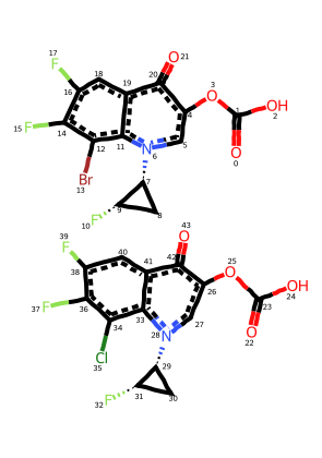 O=C(O)Oc1cn([C@@H]2C[C@@H]2F)c2c(Br)c(F)c(F)cc2c1=O.O=C(O)Oc1cn([C@@H]2C[C@@H]2F)c2c(Cl)c(F)c(F)cc2c1=O